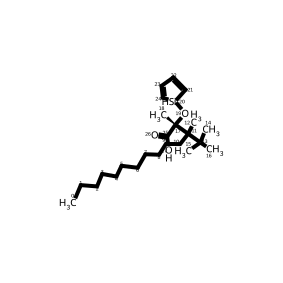 CCCCCCCCCCCC(C)(C(C)(C)C)[C@@](C)(O[SiH]1C=CC=C1)C(=O)O